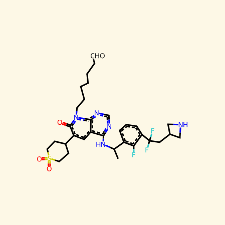 CC(Nc1ncnc2c1cc(C1CCS(=O)(=O)CC1)c(=O)n2CCCCCCC=O)c1cccc(C(F)(F)CC2CNC2)c1F